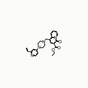 C=Cc1cc(N2CCN(Cc3cc(C(=O)OCC)c(=O)n4ccccc34)CC2)ccn1